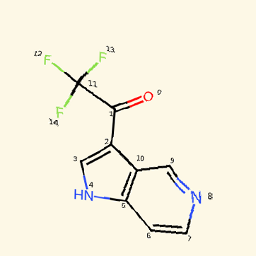 O=C(c1c[nH]c2ccncc12)C(F)(F)F